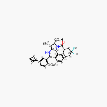 COc1ccc(C23CC(C2)C3)cc1CN[C@H]1[C@H](C(C)(C)C)[C@@H](C(=O)O)N(C(=O)[C@@H]2CCCC(F)(F)C2)[C@H]1c1ccccc1